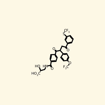 O=C(CC(C(=O)c1ccc(C(=O)NC[C@@H](O)C(=O)O)cc1)c1ccc(OC(F)(F)F)cc1)c1cccc(SC(F)(F)F)c1